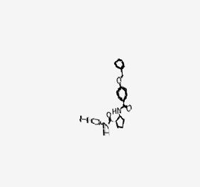 O=C(N[C@@H]1CCC[C@@H]1C(=O)NO)c1ccc(OCc2ccccc2)cc1